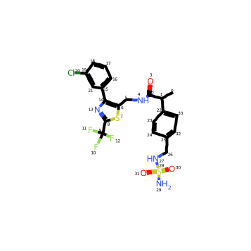 CC(C(=O)NCc1sc(C(F)(F)F)nc1-c1cccc(Cl)c1)c1ccc(CNS(N)(=O)=O)cc1